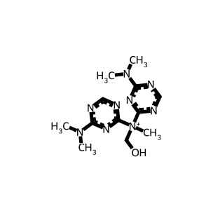 CN(C)c1ncnc([N+](C)(CO)c2ncnc(N(C)C)n2)n1